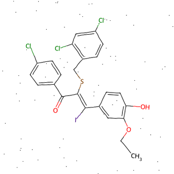 CCOc1cc(C(I)=C(SCc2ccc(Cl)cc2Cl)C(=O)c2ccc(Cl)cc2)ccc1O